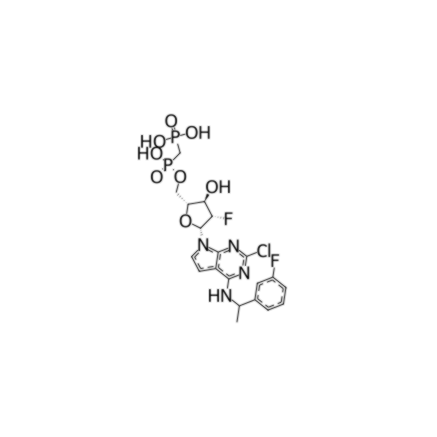 CC(Nc1nc(Cl)nc2c1ccn2[C@@H]1O[C@H](COP(=O)(O)CP(=O)(O)O)[C@@H](O)[C@@H]1F)c1cccc(F)c1